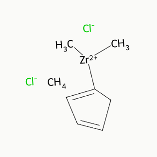 C.[CH3][Zr+2]([CH3])[C]1=CC=CC1.[Cl-].[Cl-]